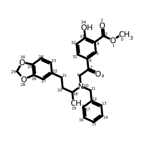 COC(=O)c1cc(C(=O)CN(Cc2ccccc2)C(C)CCc2ccc3c(c2)OCO3)ccc1O